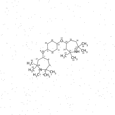 CN1C(C)(C)CCC(OC2CCC(OC3CCC(C)(C)NC(C)(C)C3)CC2)CC1(C)C